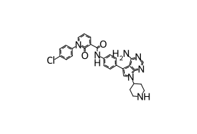 Nc1ncnc2c1c(-c1ccc(NC(=O)c3cccn(-c4ccc(Cl)cc4)c3=O)cc1)cn2C1CCNCC1